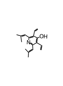 C=Cc1c(C=C(C)C)nc(C=C(C)C)c(C=C)c1O